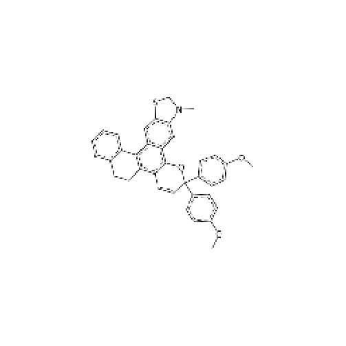 COc1ccc(C2(c3ccc(OC)cc3)C=Cc3c4c(c5cc6c(cc5c3O2)N(C)CS6)-c2ccccc2CC4)cc1